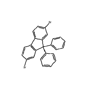 Brc1ccc2c(c1)C(c1ccccc1)(c1ccccc1)c1cc(Br)ccc1-2